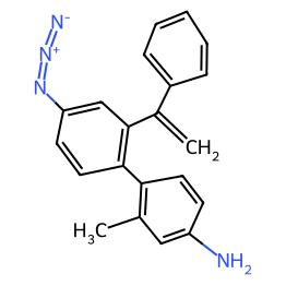 C=C(c1ccccc1)c1cc(N=[N+]=[N-])ccc1-c1ccc(N)cc1C